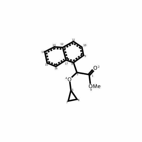 COC(=O)C(OC1CC1)c1cccc2ccccc12